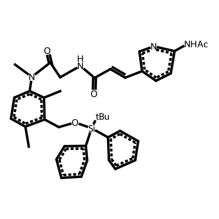 CC(=O)Nc1ccc(C=CC(=O)NCC(=O)N(C)c2ccc(C)c(CO[Si](c3ccccc3)(c3ccccc3)C(C)(C)C)c2C)cn1